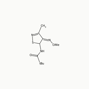 CON=C1C(C)=NSC1NC(=O)C(C)(C)C